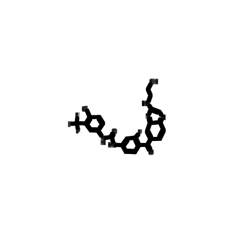 O=C(Nc1ccc(C(=O)c2ccc3ncc(NCCO)nc3c2)c(F)c1)Nc1ccc(Cl)c(C(F)(F)F)c1